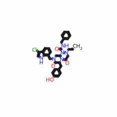 C=CCN1CC(=O)N2C(Cc3ccc(O)cc3)C(=O)N(Cc3cccc4c(Cl)c[nH]c34)CC2N1C(=O)NCc1ccccc1